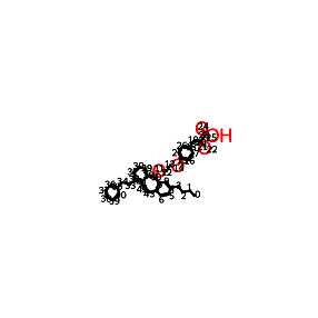 CCCCc1ccc2c(c1)C(OCCOc1ccc(CC(OC)C(=O)O)cc1)c1cccc(CCc3ccccc3)c1C=C2